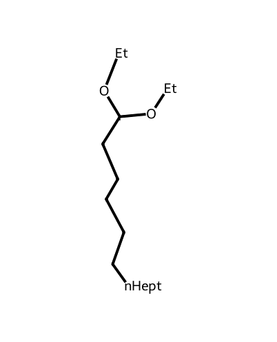 CCCCCCCCCCCC[C](OCC)OCC